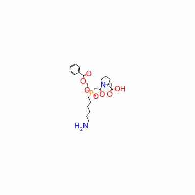 NCCCCCCP(=O)(CC(=O)N1CCC[C@H]1C(=O)O)OCOC(=O)c1ccccc1